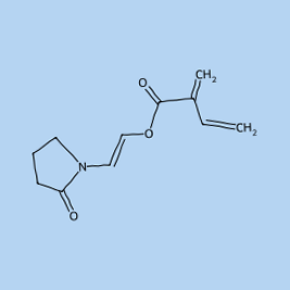 C=CC(=C)C(=O)OC=CN1CCCC1=O